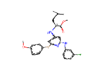 COC(=O)[C@H](CC(C)C)Nc1cc(Nc2cccc(F)c2)nc(Sc2ccc(OC)cc2)c1